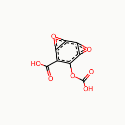 O=C(O)Oc1c(C(=O)O)c2oc2c2oc12